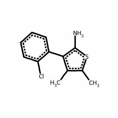 Cc1sc(N)c(-c2cc[c]cc2Cl)c1C